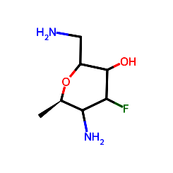 C[C@H]1OC(CN)C(O)C(F)C1N